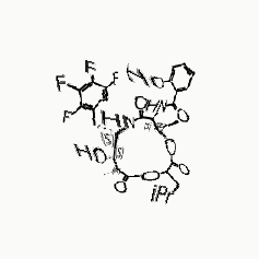 CC(C)CC1OC(=O)[C@H](C)[C@H](O)[C@H](Cc2cc(F)c(F)c(F)c2F)NC(=O)[C@@H](NC(=O)c2ccccc2O)[C@@H](C)OC1=O